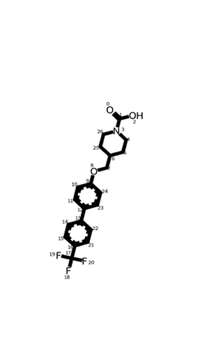 O=C(O)N1CCC(COc2ccc(-c3ccc(C(F)(F)F)cc3)cc2)CC1